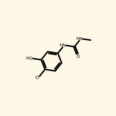 CNC(=O)Nc1ccc(Cl)c(O)c1